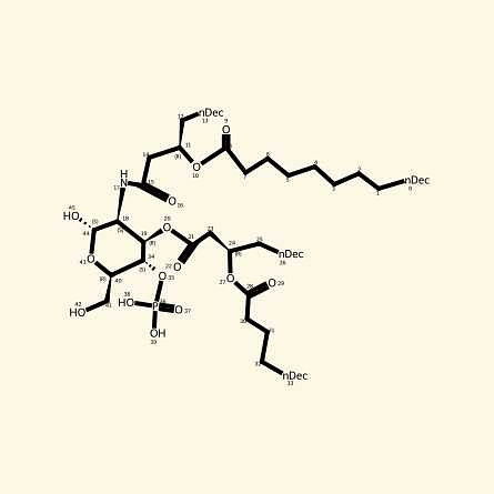 CCCCCCCCCCCCCCCCCC(=O)O[C@H](CCCCCCCCCCC)CC(=O)N[C@H]1[C@@H](OC(=O)C[C@@H](CCCCCCCCCCC)OC(=O)CCCCCCCCCCCCC)[C@H](OP(=O)(O)O)[C@@H](CO)O[C@@H]1O